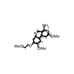 COCCOc1cc2ncc3c(N)nc(OC)cc3c2cc1OC